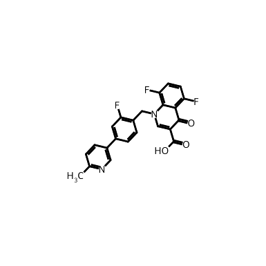 Cc1ccc(-c2ccc(Cn3cc(C(=O)O)c(=O)c4c(F)ccc(F)c43)c(F)c2)cn1